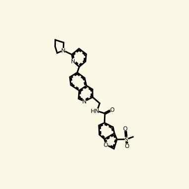 CS(=O)(=O)c1coc2ccc(C(=O)NCc3cc4cc(-c5cccc(N6CCCC6)n5)ccc4cn3)cc12